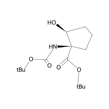 CC(C)(C)OC(=O)N[C@]1(C(=O)OC(C)(C)C)CCC[C@@H]1O